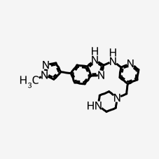 Cn1cc(-c2ccc3nc(Nc4cc(CN5CCNCC5)ccn4)[nH]c3c2)cn1